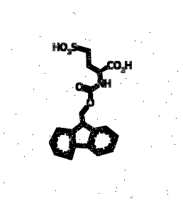 O=C(N[C@@H](CCS(=O)(=O)O)C(=O)O)OCC1c2ccccc2-c2ccccc21